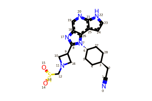 N#CC[C@H]1CC[C@H](n2c(C3CN(C[SH](=O)=O)C3)nc3cnc4[nH]ccc4c32)CC1